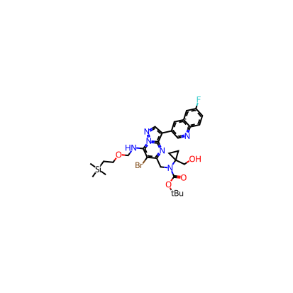 CC(C)(C)OC(=O)N(Cc1nc2c(-c3cnc4ccc(F)cc4c3)cnn2c(NCOCC[Si](C)(C)C)c1Br)C1(CO)CC1